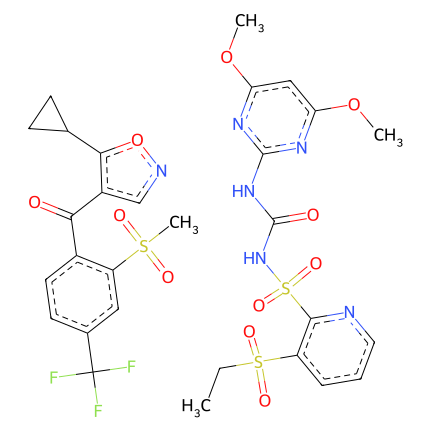 CCS(=O)(=O)c1cccnc1S(=O)(=O)NC(=O)Nc1nc(OC)cc(OC)n1.CS(=O)(=O)c1cc(C(F)(F)F)ccc1C(=O)c1cnoc1C1CC1